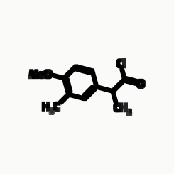 COc1ccc(C(C)C(=O)Cl)cc1C